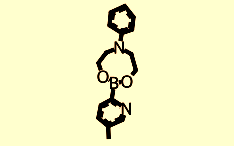 Cc1ccc(B2OCCN(c3ccccc3)CCO2)nc1